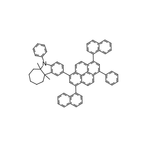 CC12CCCCCC1(C)N(c1ccccc1)c1ccc(-c3cc(-c4cccc5ccccc45)c4ccc5c(-c6ccccc6)cc(-c6cccc7ccccc67)c6ccc3c4c56)cc12